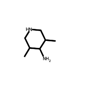 CC1CNCC(C)C1N